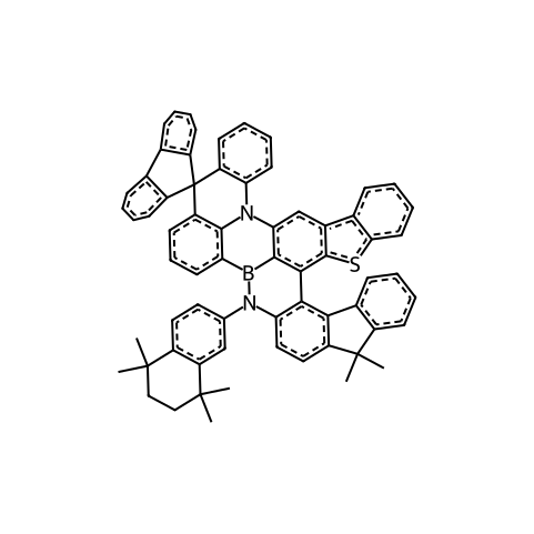 CC1(C)CCC(C)(C)c2cc(N3B4c5cccc6c5N(c5ccccc5C65c6ccccc6-c6ccccc65)c5cc6c(sc7ccccc76)c(c54)-c4c3ccc3c4-c4ccccc4C3(C)C)ccc21